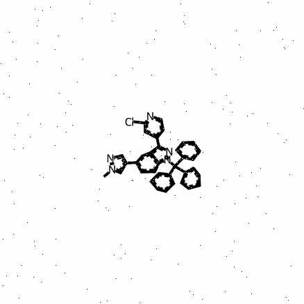 Cn1cc(-c2ccc3c(c2)c(-c2ccnc(Cl)c2)nn3C(c2ccccc2)(c2ccccc2)c2ccccc2)cn1